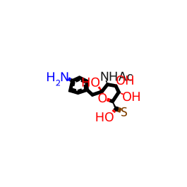 CC(=O)N[C@@H]1[C@@H](O)[C@H](O)[C@@H](C(O)=S)O[C@]1(O)Cc1ccc(N)cc1